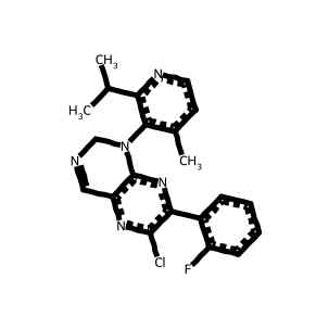 Cc1ccnc(C(C)C)c1N1CN=Cc2nc(Cl)c(-c3ccccc3F)nc21